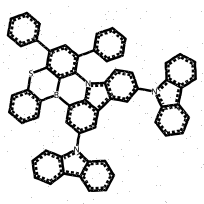 c1ccc(-c2cc(-c3ccccc3)c3c4c2Sc2ccccc2B4c2cc(-n4c5ccccc5c5ccccc54)cc4c5cc(-n6c7ccccc7c7ccccc76)ccc5n-3c24)cc1